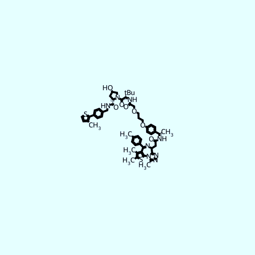 Cc1ccc(C2=NC(CC(=O)N[C@@H](C)c3ccc(OCCCOCC(=O)N[C@H](C(=O)N4CC(O)C[C@H]4C(=O)NCc4ccc(-c5sccc5C)cc4)C(C)(C)C)cc3)c3nnc(C)n3-c3sc(C)c(C)c32)cc1